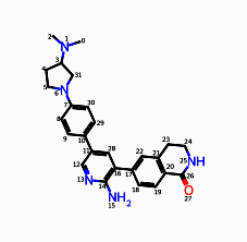 CN(C)C1CCN(c2ccc(-c3cnc(N)c(-c4ccc5c(c4)CCNC5=O)c3)cc2)C1